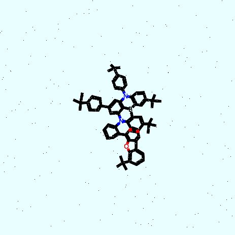 CC(C)(C)c1ccc(-c2cc3c4c(c2)N(c2ccccc2-c2cccc5c2oc2c(C(C)(C)C)cccc25)c2ccc(C(C)(C)C)cc2B4c2cc(C(C)(C)C)ccc2N3c2ccc(C(C)(C)C)cc2)cc1